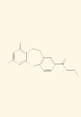 CCCC(=O)c1ccc2c(c1)CCc1c(O)cc(O)cc1O2